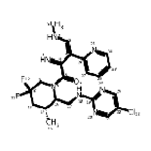 CN/C=C(\C(=N)C(=O)N1CC(F)(F)C[C@@H](C)C1CNc1ncc(Cl)cn1)c1ccccn1